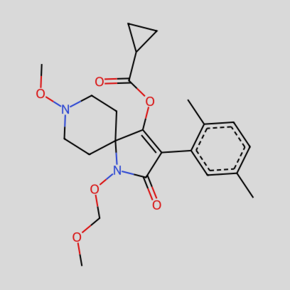 COCON1C(=O)C(c2cc(C)ccc2C)=C(OC(=O)C2CC2)C12CCN(OC)CC2